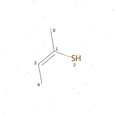 [CH2]C(S)=CC